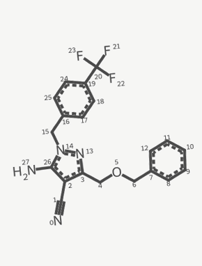 N#Cc1c(COCc2ccccc2)nn(Cc2ccc(C(F)(F)F)cc2)c1N